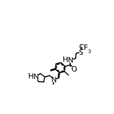 C=c1ccc(C(=O)NCCSC(F)(F)F)c(C)/c1=C/N(C)CC1CCNC1